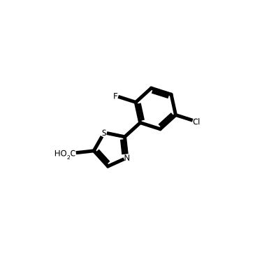 O=C(O)c1cnc(-c2cc(Cl)ccc2F)s1